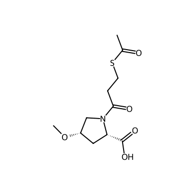 CO[C@H]1C[C@@H](C(=O)O)N(C(=O)CCSC(C)=O)C1